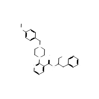 COc1ccc(CN2CCN(c3ncccc3C(=O)NC(CO)Cc3ccccc3)CC2)cc1